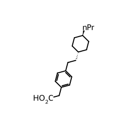 CCC[C@H]1CC[C@H](CCc2ccc(CC(=O)O)cc2)CC1